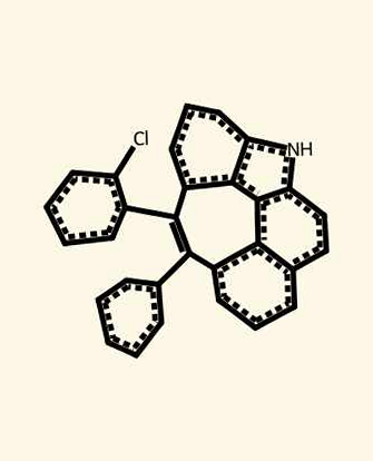 Clc1ccccc1C1=C(c2ccccc2)c2cccc3ccc4[nH]c5cccc1c5c4c23